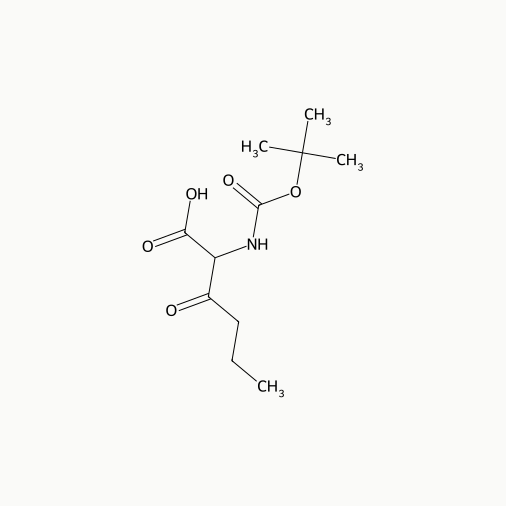 CCCC(=O)C(NC(=O)OC(C)(C)C)C(=O)O